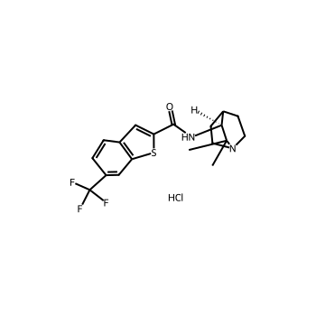 CC1(C)[C@@H](NC(=O)c2cc3ccc(C(F)(F)F)cc3s2)C2CCN1CC2.Cl